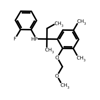 CCC(C)(Pc1ccccc1F)c1cc(C)cc(C)c1OCOC